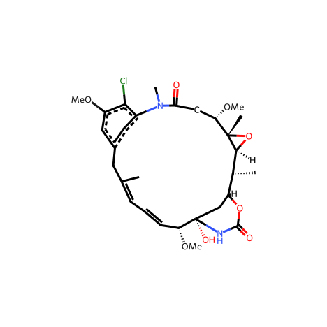 COc1cc2cc(c1Cl)N(C)C(=O)C[C@H](OC)[C@]1(C)O[C@H]1[C@H](C)[C@@H]1C[C@@](O)(NC(=O)O1)[C@H](OC)/C=C/C=C(\C)C2